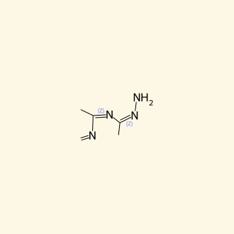 C=N/C(C)=N\C(C)=N/N